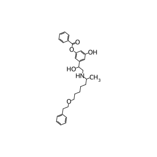 CC(CCCCCOCCc1ccccc1)NCC(O)c1cc(O)cc(OC(=O)c2ccccc2)c1